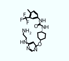 Cc1ccc(NC(=O)N[C@H]2CC[C@H](Oc3cc(NCCN)ncn3)CC2)cc1C(F)(F)F